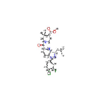 COC(=O)C1CCN(C(=O)c2ccc3c(n2)c(CC(C)C)nn3-c2ccc(Cl)c(F)c2)CC1(C)C